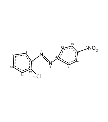 O=[N+]([O-])c1ccc(N=Nc2ccccc2Cl)cc1